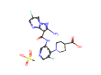 CS(=O)(=O)O.Nc1nn2cc(F)cnc2c1C(=O)Nc1cncc(F)c1N1CCC(C(=O)O)CC1